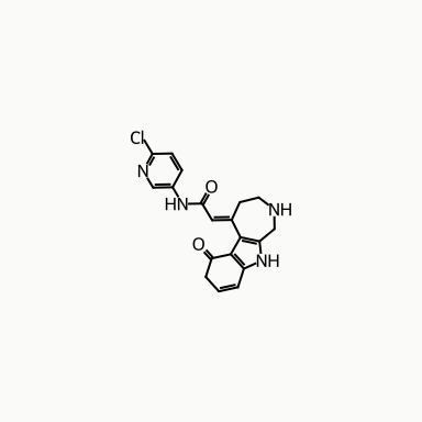 O=C(C=C1CCNCc2[nH]c3c(c21)C(=O)CC=C3)Nc1ccc(Cl)nc1